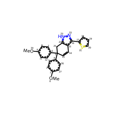 COc1ccc(C2(c3ccc(OC)cc3)C=Cc3c(-c4cccs4)n[nH]c3C2)cc1